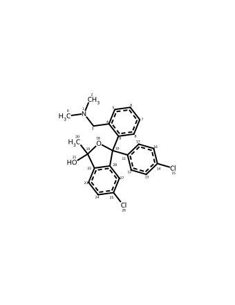 CN(C)Cc1ccccc1C1(c2ccc(Cl)cc2)OC(C)(O)c2ccc(Cl)cc21